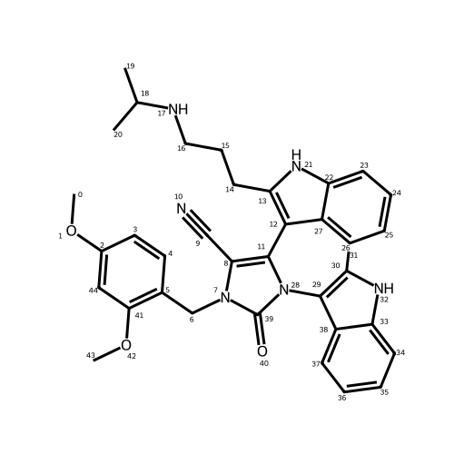 COc1ccc(Cn2c(C#N)c(-c3c(CCCNC(C)C)[nH]c4ccccc34)n(-c3c(C)[nH]c4ccccc34)c2=O)c(OC)c1